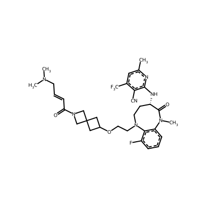 Cc1cc(C(F)(F)F)c(C#N)c(N[C@H]2CCN(CCOC3CC4(C3)CN(C(=O)/C=C/CN(C)C)C4)c3c(F)cccc3N(C)C2=O)n1